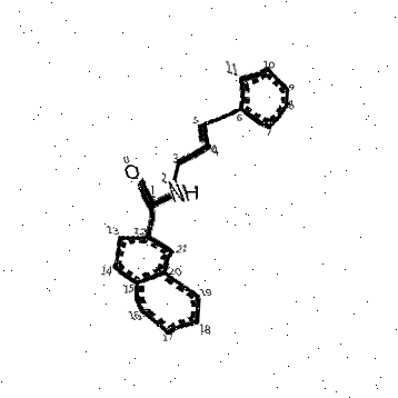 O=C(NCC=Cc1ccccc1)c1ccc2ccccc2c1